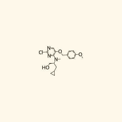 COc1ccc(COc2cnc(Cl)nc2N(C)[C@H](CO)CC2CC2)cc1